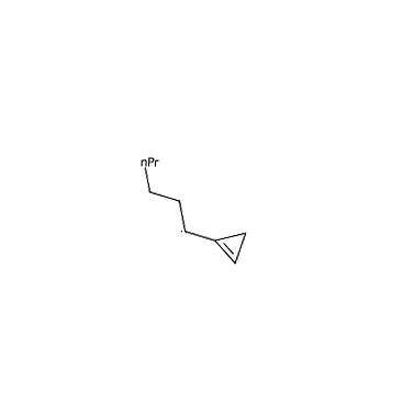 CCCCC[CH]C1=CC1